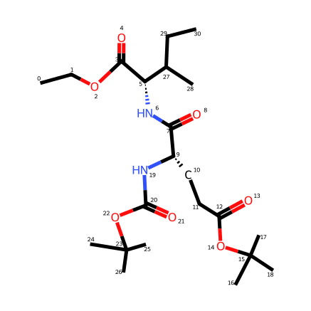 CCOC(=O)[C@@H](NC(=O)[C@H](CCC(=O)OC(C)(C)C)NC(=O)OC(C)(C)C)C(C)CC